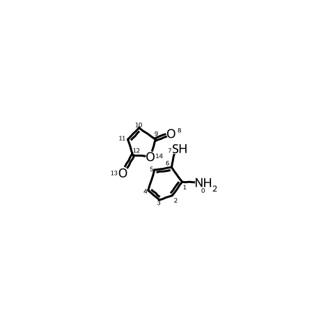 Nc1ccccc1S.O=C1C=CC(=O)O1